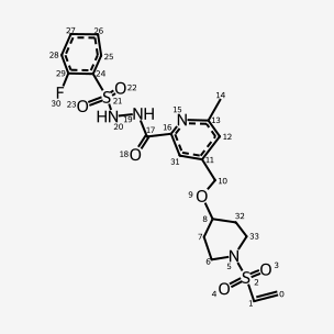 C=CS(=O)(=O)N1CCC(OCc2cc(C)nc(C(=O)NNS(=O)(=O)c3ccccc3F)c2)CC1